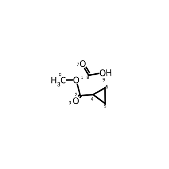 COC(=O)C1CC1.O=CO